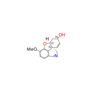 COc1ccc2c3c1O[C@H]1C[C@@H](O)C=C[C@@]31CCN=C2